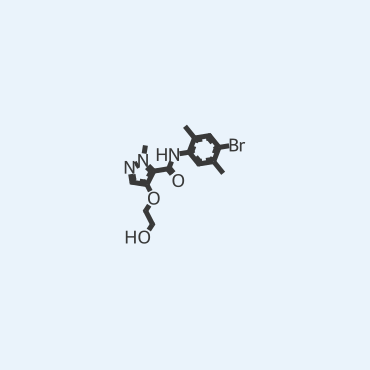 Cc1cc(NC(=O)c2c(OCCO)cnn2C)c(C)cc1Br